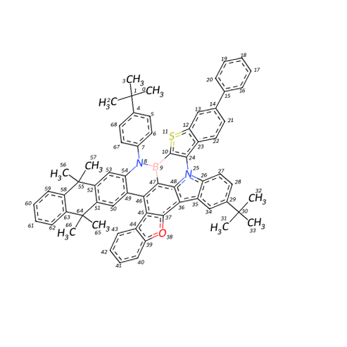 CC(C)(C)c1ccc(N2B3c4sc5cc(-c6ccccc6)ccc5c4-n4c5ccc(C(C)(C)C)cc5c5c6oc7ccccc7c6c(c3c54)-c3cc4c(cc32)C(C)(C)c2ccccc2C4(C)C)cc1